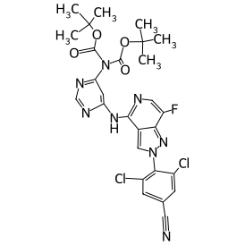 CC(C)(C)OC(=O)N(C(=O)OC(C)(C)C)c1cc(Nc2ncc(F)c3nn(-c4c(Cl)cc(C#N)cc4Cl)cc23)ncn1